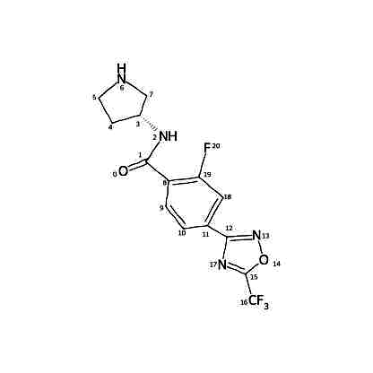 O=C(N[C@@H]1CCNC1)c1ccc(-c2noc(C(F)(F)F)n2)cc1F